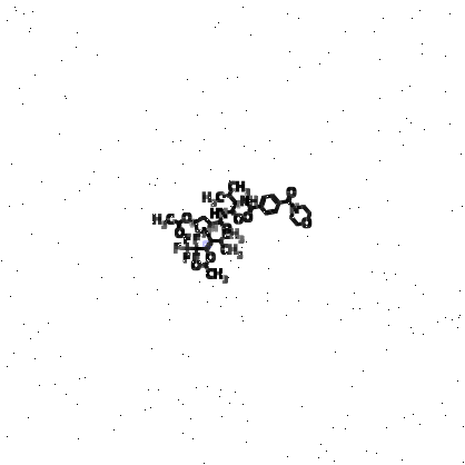 CC(=O)O/C(=C(\C(C)C)N1C[C@H](OC(C)=O)C[C@H]1C(=O)NC(=O)[C@@H](NC(=O)c1ccc(C(=O)N2CCOCC2)cc1)C(C)C)C(F)(F)C(F)(F)F